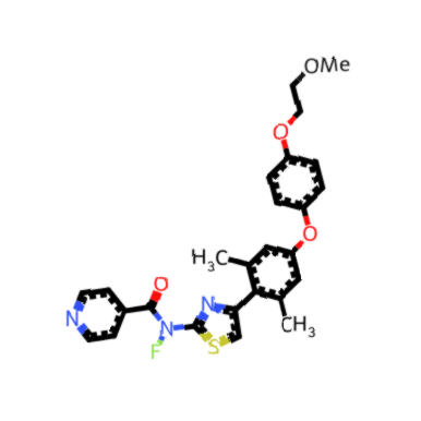 COCCOc1ccc(Oc2cc(C)c(-c3csc(N(F)C(=O)c4ccncc4)n3)c(C)c2)cc1